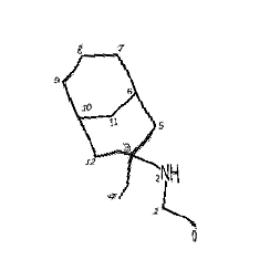 CCNC1(C)CC2CCCC(C2)C1